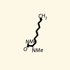 C=CCCCCCC[C@H](NC)C(=O)NC